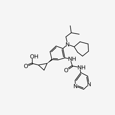 CC(C)CN(c1ccc([C@H]2CC2C(=O)O)cc1NC(=O)Nc1cncnc1)C1CCCCC1